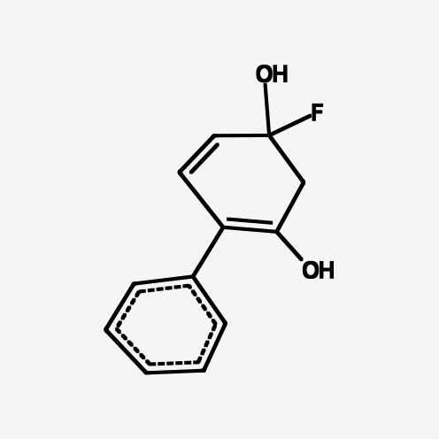 OC1=C(c2ccccc2)C=CC(O)(F)C1